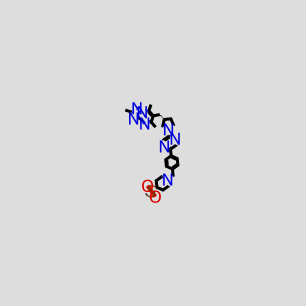 Cc1nc2nc(C)c(C[C@@H]3CCN(c4cnc(-c5ccc(CN6CCC(S(C)(=O)=O)CC6)cc5)cn4)C3)c(C)n2n1